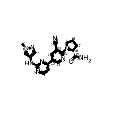 Cn1cc(Nc2nccc(-c3cnc(N4CCC[C@@H]4C(N)=O)c(C#N)c3)n2)cn1